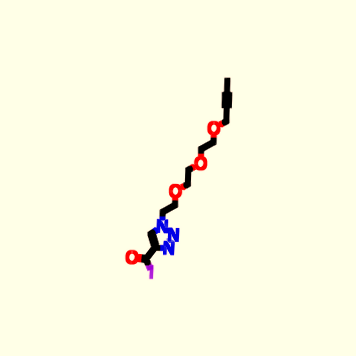 CC#CCOCCOCCOCCn1cc(C(=O)I)nn1